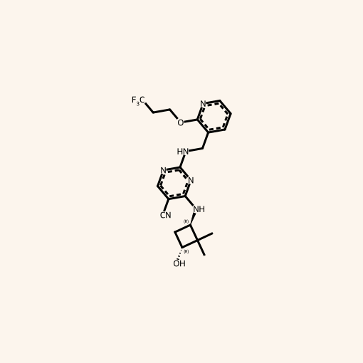 CC1(C)[C@H](O)C[C@H]1Nc1nc(NCc2cccnc2OCCC(F)(F)F)ncc1C#N